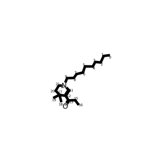 CCCCCCCCCCN1C=C(C(=O)CC)C(C)(C)CC1